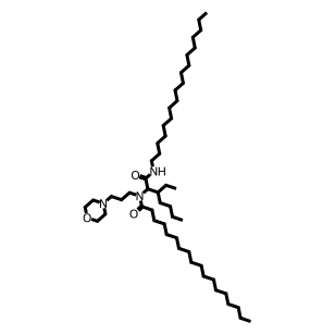 CCCCCCCCCCCCCCCCCCNC(=O)C(C(CC)CCCC)N(CCCN1CCOCC1)C(=O)CCCCCCCCCCCCCCCCC